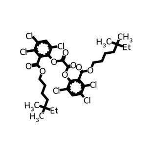 CCC(C)(C)CCCCOC(=O)c1c(Cl)c(Cl)cc(Cl)c1OC(=O)C(=O)Oc1c(Cl)cc(Cl)c(Cl)c1C(=O)OCCCCC(C)(C)CC